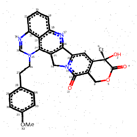 CC[C@@]1(O)C(=O)OCc2c1cc1n(c2=O)Cc2c-1nc1cccc3c1c2N(CCc1ccc(OC)cc1)C=N3